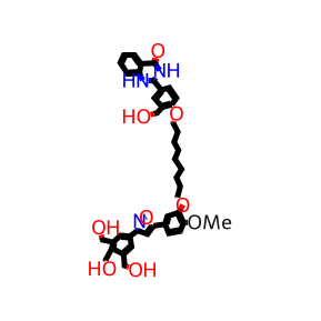 COc1ccc(-c2cc(-c3cc(CO)c(CO)c(CO)c3)no2)cc1OCCCCCCCCCOc1ccc(C2NC(=O)c3ccccc3N2)cc1CO